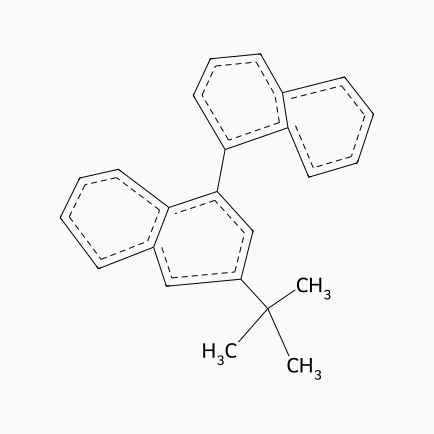 CC(C)(C)c1cc(-c2cccc3ccccc23)c2ccccc2c1